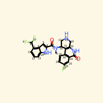 CN(C(=O)c1cc2c(C(F)F)cccc2[nH]1)C1CNCc2[nH]c(=O)c3cc(F)ccc3c21